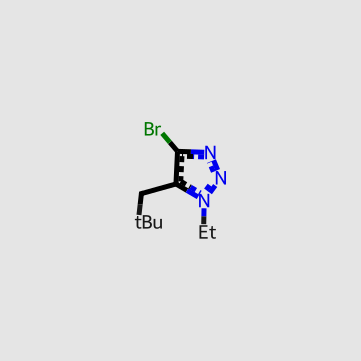 CCn1nnc(Br)c1CC(C)(C)C